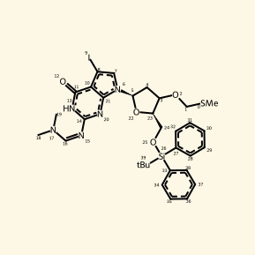 CSCOC1C[C@H](n2cc(I)c3c(=O)[nH]c(/N=C\N(C)C)nc32)O[C@@H]1CO[Si](c1ccccc1)(c1ccccc1)C(C)(C)C